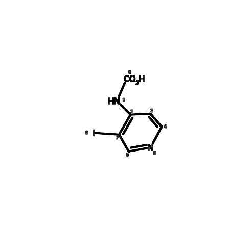 O=C(O)Nc1ccncc1I